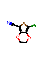 N#Cc1sc(Br)c2c1OCCO2